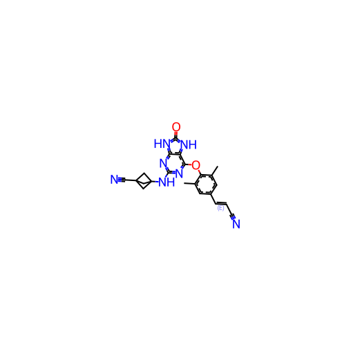 Cc1cc(/C=C/C#N)cc(C)c1Oc1nc(NC23CC(C#N)(C2)C3)nc2[nH]c(=O)[nH]c12